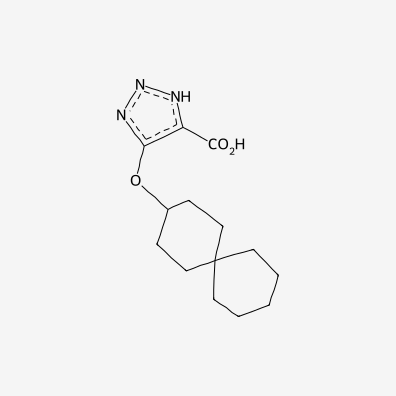 O=C(O)c1[nH]nnc1OC1CCC2(CCCCC2)CC1